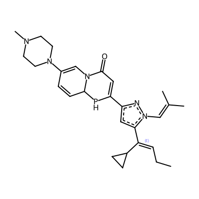 CC/C=C(/c1cc(C2=CC(=O)N3C=C(N4CCN(C)CC4)C=CC3P2)nn1C=C(C)C)C1CC1